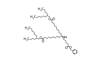 CCCCCCC(CCCC)COC(=O)CCCCCCCCC(CCCCCCCCC(=O)OCC(CCCC)CCCCCC)NCCCCC(=O)OCc1ccccc1